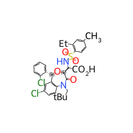 CCc1cc(C)ccc1S(=O)(=O)NC(C(=O)O)[C@@H]1O[C@@H](c2ccccc2Cl)c2cc(Cl)ccc2N(CC(C)(C)C)C1=O